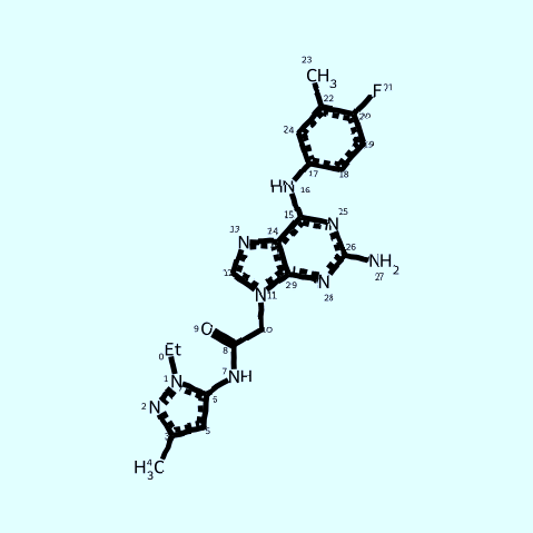 CCn1nc(C)cc1NC(=O)Cn1cnc2c(Nc3ccc(F)c(C)c3)nc(N)nc21